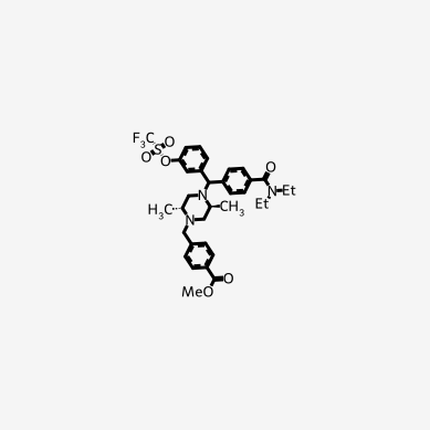 CCN(CC)C(=O)c1ccc(C(c2cccc(OS(=O)(=O)C(F)(F)F)c2)N2C[C@@H](C)N(Cc3ccc(C(=O)OC)cc3)C[C@@H]2C)cc1